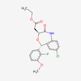 CCOC(=O)C[C@@H]1O[C@@H](c2cccc(OC)c2F)c2cc(Cl)ccc2NC1=O